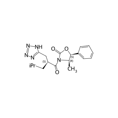 CC(C)C[C@@H](Cc1nnn[nH]1)C(=O)N1C(=O)O[C@@H](c2ccccc2)[C@H]1C